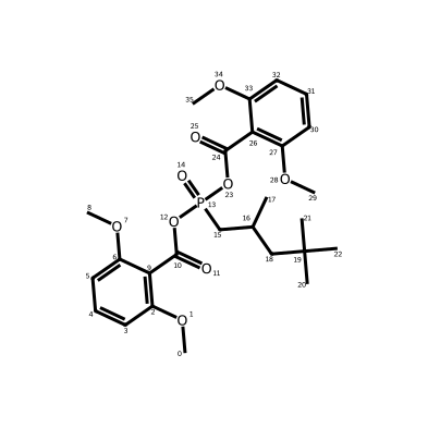 COc1cccc(OC)c1C(=O)OP(=O)(CC(C)CC(C)(C)C)OC(=O)c1c(OC)cccc1OC